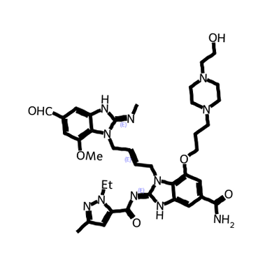 CCn1nc(C)cc1C(=O)/N=c1\[nH]c2cc(C(N)=O)cc(OCCCN3CCN(CCO)CC3)c2n1C/C=C/Cn1/c(=N/C)[nH]c2cc(C=O)cc(OC)c21